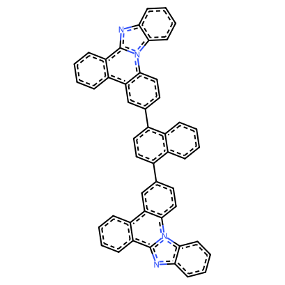 c1ccc2c(c1)nc1c3ccccc3c3cc(-c4ccc(-c5ccc6c(c5)c5ccccc5c5nc7ccccc7n65)c5ccccc45)ccc3n21